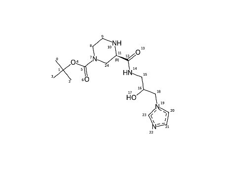 CC(C)(C)OC(=O)N1CCN[C@@H](C(=O)NCC(O)Cn2ccnc2)C1